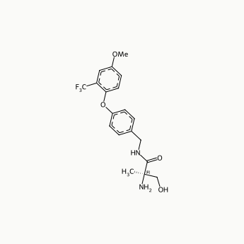 COc1ccc(Oc2ccc(CNC(=O)[C@](C)(N)CO)cc2)c(C(F)(F)F)c1